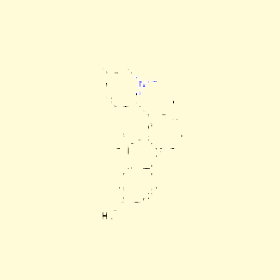 Cc1ccc(-c2c(C)ccc3c2C(C)(C)c2cc(C#N)ccc2-3)[n+](C)c1